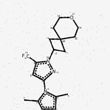 Cc1ccc(C)n1-c1cc(C(F)(F)F)n(C2CC3(CCOCC3)C2)n1